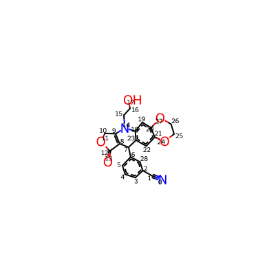 N#Cc1cccc(C2C3=C(COC3=O)N(CCO)c3cc4c(cc32)OCCO4)c1